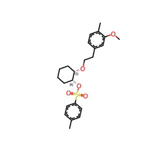 COc1cc(CCO[C@H]2CCCC[C@H]2OS(=O)(=O)c2ccc(C)cc2)ccc1C